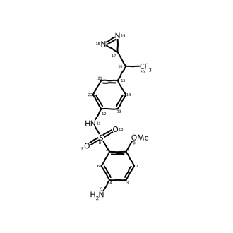 COc1ccc(N)cc1S(=O)(=O)Nc1ccc(C(C2N=N2)C(F)(F)F)cc1